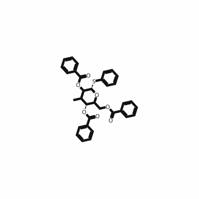 CC1C(OC(=O)c2ccccc2)[C@H](Sc2ccccc2)OC(COC(=O)c2ccccc2)[C@@H]1OC(=O)c1ccccc1